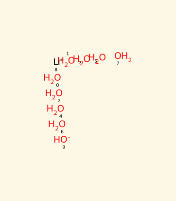 O.O.O.O.O.O.O.O.[Li+].[OH-]